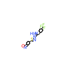 N[C@H](CNc1ncc(-c2ccc3c(c2)C=NC3=O)s1)Cc1ccc(C(F)(F)F)cc1